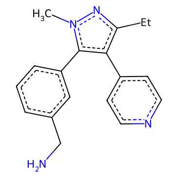 CCc1nn(C)c(-c2cccc(CN)c2)c1-c1ccncc1